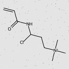 C=CC(=O)NC(Cl)CC[N+](C)(C)C